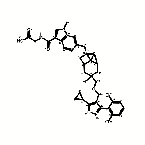 Cn1cc(C(=O)NCC(=O)O)c2ccc(C[C@@]34CC5CC(F)(COCc6c(-c7c(Cl)cccc7Cl)noc6C6CC6)CC6C3C564)cc21